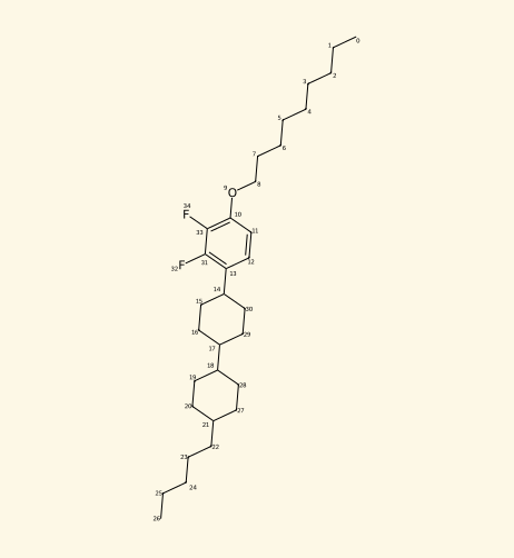 CCCCCCCCCOc1ccc(C2CCC(C3CCC(CCCCC)CC3)CC2)c(F)c1F